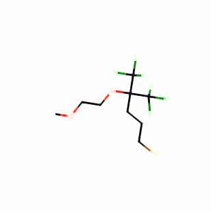 COCCOC(CCCS)(C(F)(F)F)C(F)(F)F